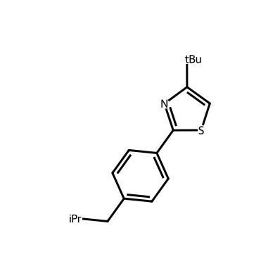 CC(C)Cc1ccc(-c2nc(C(C)(C)C)cs2)cc1